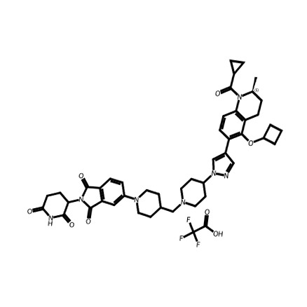 C[C@H]1CCc2c(ccc(-c3cnn(C4CCN(CC5CCN(c6ccc7c(c6)C(=O)N(C6CCC(=O)NC6=O)C7=O)CC5)CC4)c3)c2OC2CCC2)N1C(=O)C1CC1.O=C(O)C(F)(F)F